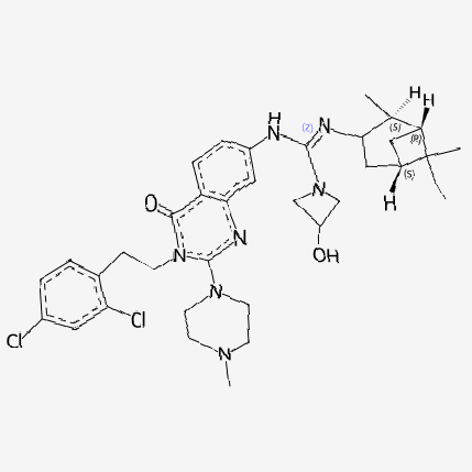 C[C@@H]1C(/N=C(/Nc2ccc3c(=O)n(CCc4ccc(Cl)cc4Cl)c(N4CCN(C)CC4)nc3c2)N2CC(O)C2)C[C@@H]2C[C@H]1C2(C)C